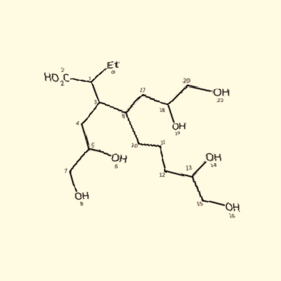 CCC(C(=O)O)C(CC(O)CO)C(CCCC(O)CO)CC(O)CO